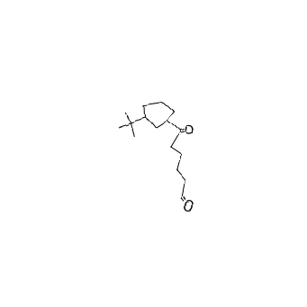 CC(C)(C)C1CCCC(C(=O)CCCCC=O)C1